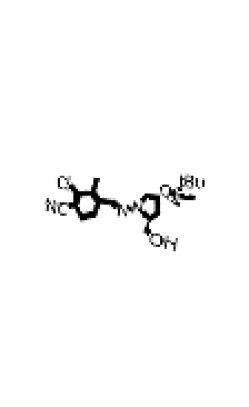 Cc1c(C=NN2C[C@H](O[Si](C)(C)C(C)(C)C)C[C@H]2CO)ccc(C#N)c1Cl